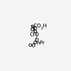 CCCc1cc(Oc2ccccc2)ccc1OCCCOc1ccc(S(=O)(=O)N2CCC[C@@H]2C(=O)O)cc1Cl